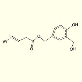 CC(C)C=CCC(=O)OCc1ccc(O)c(CO)c1